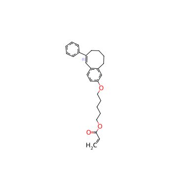 C=CC(=O)OCCCCCOc1ccc2c(c1)CCCC/C(c1ccccc1)=C\2